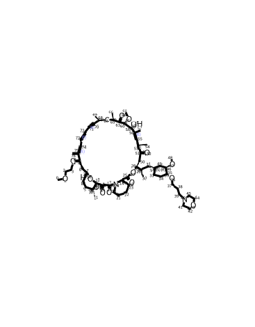 COCCOC1C[C@@H]2CC[C@@H](C)[C@@](O)(O2)C(=O)C(=O)N2CCCCC2C(=O)O[C@H]([C@H](C)C[C@@H]2CC[C@@H](OCCCN3CCOCC3)[C@H](OC)C2)CC(=O)[C@H](C)/C=C(\C)[C@@H](O)[C@@H](OC)C(=O)[C@H](C)C[C@H](C)/C=C/C=C/C=C/1C